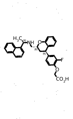 C[C@@H](NC[C@H]1C[C@H](c2ccc(OCC(=O)O)c(F)c2)c2ccccc2O1)c1cccc2ccccc12